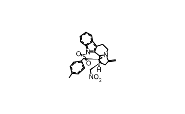 C=C1C[C@H]2[C@H](C[N+](=O)[O-])[C@@H](C)C[C@]23c2c(c4ccccc4n2S(=O)(=O)c2ccc(C)cc2)CCN13